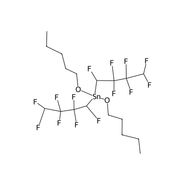 CCCCC[O][Sn]([O]CCCCC)([CH](F)C(F)(F)C(F)(F)C(F)F)[CH](F)C(F)(F)C(F)(F)C(F)F